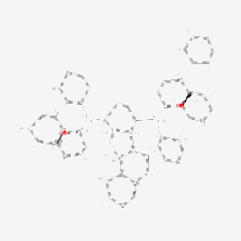 c1ccc(-c2ccc(N(c3ccccc3-c3ccccc3)c3ccc(N(c4ccccc4)c4ccccc4-c4ccccc4)c4oc5c6ccccc6ccc5c34)cc2)cc1